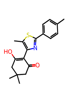 Cc1ccc(-c2nc(C3=C(O)CC(C)(C)CC3=O)c(C)s2)cc1